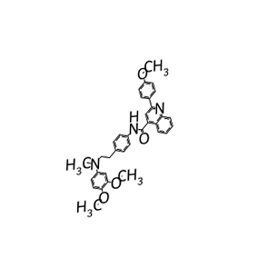 COc1ccc(-c2cc(C(=O)Nc3ccc(CCN(C)c4ccc(OC)c(OC)c4)cc3)c3ccccc3n2)cc1